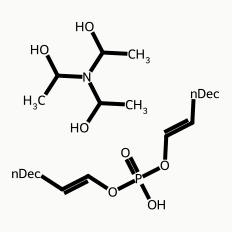 CC(O)N(C(C)O)C(C)O.CCCCCCCCCCC=COP(=O)(O)OC=CCCCCCCCCCC